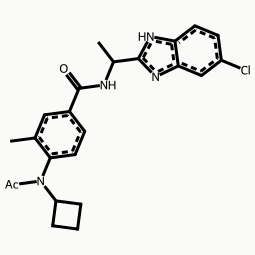 CC(=O)N(c1ccc(C(=O)NC(C)c2nc3cc(Cl)ccc3[nH]2)cc1C)C1CCC1